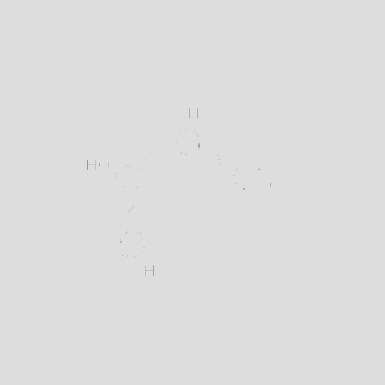 Cc1ccc(/C=C/c2cc(C)cc(COc3cc(O)cc(/C=C/c4ccc(O)cc4)c3)c2)cc1